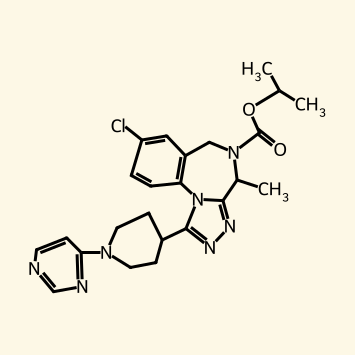 CC(C)OC(=O)N1Cc2cc(Cl)ccc2-n2c(C3CCN(c4ccncn4)CC3)nnc2C1C